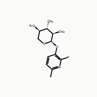 CC(=O)O[C@@H]1[C@@H](OC(C)=O)[C@@H](Oc2ccc(C)nc2F)SC[C@H]1OC(C)=O